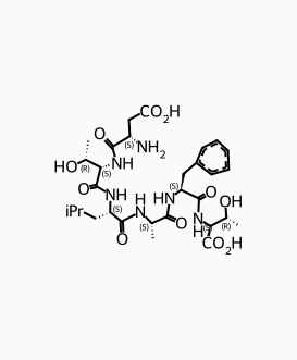 CC(C)C[C@H](NC(=O)[C@@H](NC(=O)[C@@H](N)CC(=O)O)[C@@H](C)O)C(=O)N[C@@H](C)C(=O)N[C@@H](Cc1ccccc1)C(=O)N[C@H](C(=O)O)[C@@H](C)O